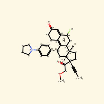 CC#C[C@]1(C(=O)COC)CC[C@H]2[C@@H]3CC(F)C4=CC(=O)CCC4=C3[C@@H](c3ccc(N4CCCC4)cc3)C[C@@]21C